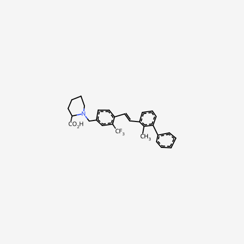 Cc1c(C=Cc2ccc(CN3CCCCC3C(=O)O)cc2C(F)(F)F)cccc1-c1ccccc1